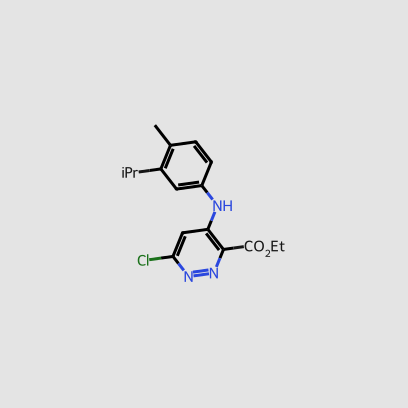 CCOC(=O)c1nnc(Cl)cc1Nc1ccc(C)c(C(C)C)c1